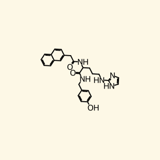 O=C(Cc1ccc2ccccc2c1)NC(CCCNc1ncc[nH]1)C(=O)NCc1ccc(O)cc1